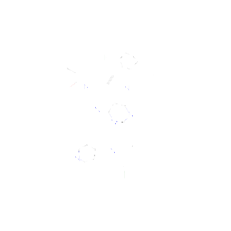 C#Cc1c(F)ccc2c1[C@@H](N1CCc3c(nc(OC[C@]4(C)C[C@@H](F)CN4Cc4ccncc4)nc3N3CCCCC(NC(=O)C=C)C3)C1)C[C@@](C)(O)C2